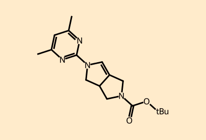 Cc1cc(C)nc(N2C=C3CN(C(=O)OC(C)(C)C)CC3C2)n1